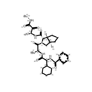 CCC[C@H](NC(=O)[C@@H]1[C@H]2CCC[C@H]2CN1C(=O)[C@@H](NC(=O)[C@@H](NC(=O)c1cnccn1)C1CCCCC1)C(C)(C)C)C(=O)C(=O)N[C@@H](C)CC